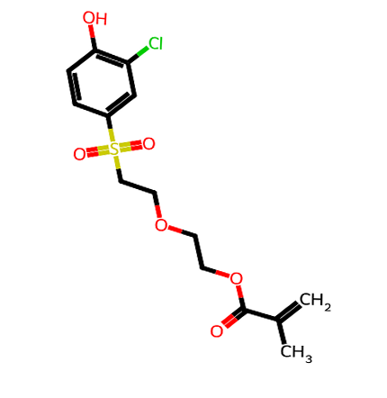 C=C(C)C(=O)OCCOCCS(=O)(=O)c1ccc(O)c(Cl)c1